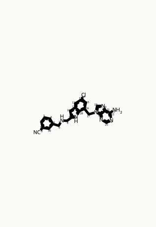 N#Cc1cccc(CNCc2cc3cc(Cl)cc(Cn4cnc5c(N)ncnc54)c3[nH]2)c1